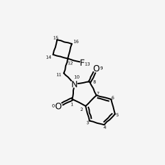 O=C1c2ccccc2C(=O)N1CC1(F)CCC1